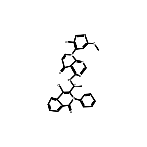 COc1cc(-n2ccc(=O)c3c(N[C@@H](C)c4c(Cl)c5ccccc5c(=O)n4-c4ccccc4)ncnc32)c(Br)cn1